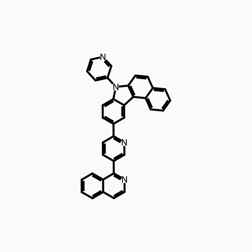 c1cncc(-n2c3ccc(-c4ccc(-c5nccc6ccccc56)cn4)cc3c3c4ccccc4ccc32)c1